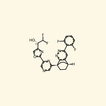 O[C@@H](c1coc(-c2cncc([C@]34CC[C@H](CC3)c3cc(-c5c(F)cccc5F)nnc34)n2)n1)C(F)F